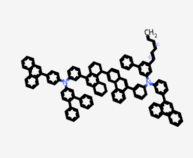 C=C/C=C\C=C\c1cc(-c2ccccc2)cc(N(c2cccc(-c3cc4ccccc4c4ccccc34)c2)C2C=C(C3=CC4C=CC(C5CC=Cc6c(-c7cccc(N(c8ccc(-c9cc%10ccccc%10c%10ccccc9%10)cc8)c8ccc(-c9ccccc9)c(-c9ccccc9)c8)c7)cc7c(c65)CCC=C7)=CC4c4ccccc43)C=CC2)c1